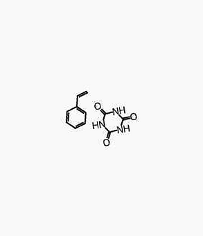 C=Cc1ccccc1.O=c1[nH]c(=O)[nH]c(=O)[nH]1